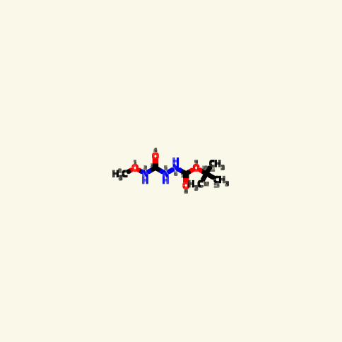 CONC(=O)NNC(=O)OC(C)(C)C